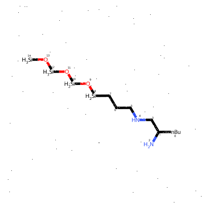 CCCCC(N)CNCCC[SiH2]O[SiH2]O[SiH2]O[SiH3]